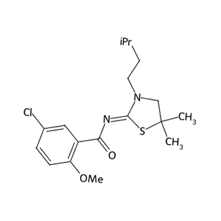 COc1ccc(Cl)cc1C(=O)/N=C1\SC(C)(C)CN1CCC(C)C